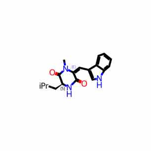 CC(C)C[C@@H]1NC(=O)/C(=C\c2c[nH]c3ccccc23)N(C)C1=O